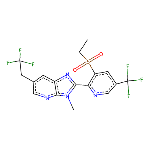 CCS(=O)(=O)c1cc(C(F)(F)F)cnc1-c1nc2cc(CC(F)(F)F)cnc2n1C